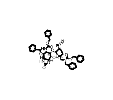 [N-]=[N+]=N[C@@H]1CC[C@@H](CN(Cc2ccccc2)C(=O)OCc2ccccc2)O[C@@H]1O[C@H]1[C@H](O)[C@H]2OC(=O)N[C@@H]2[C@@H](OCc2ccccc2)[C@@H]1NC(=O)OCc1ccccc1